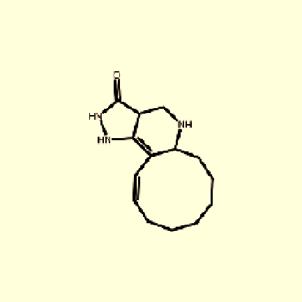 O=C1NNC2=C3C=CCCCCCCC3NCC12